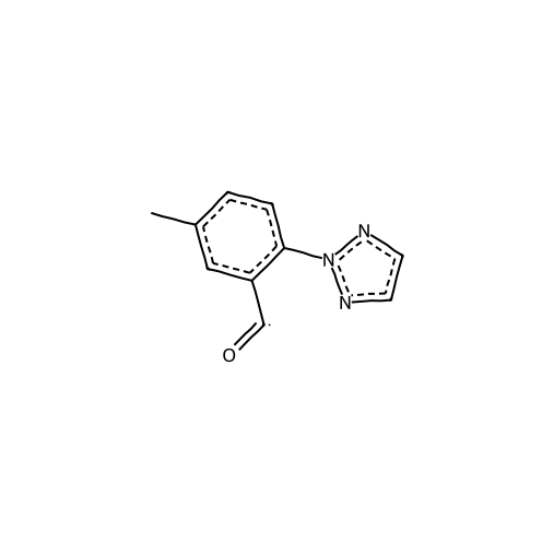 Cc1ccc(-n2nccn2)c([C]=O)c1